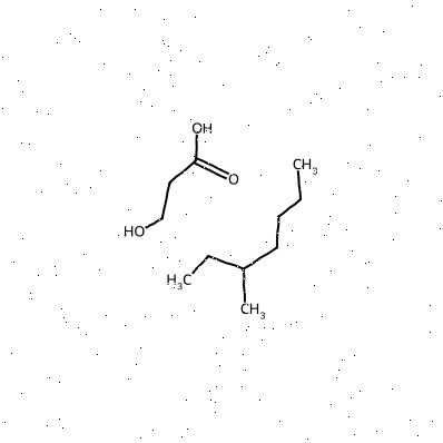 CCCCC(C)CC.O=C(O)CCO